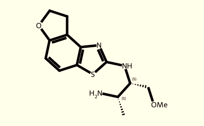 COC[C@@H](Nc1nc2c3c(ccc2s1)OCC3)[C@H](C)N